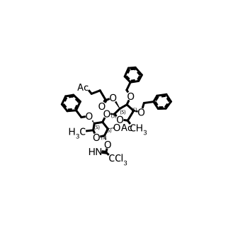 CC(=O)CCC(=O)O[C@H]1C(OCc2ccccc2)[C@@H](OCc2ccccc2)C(C)O[C@H]1OC1[C@@H](OCc2ccccc2)C(C)O[C@@H](OC(=N)C(Cl)(Cl)Cl)[C@H]1OC(C)=O